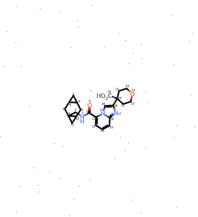 O=C(NCC12CC3CC3CC1C2)c1cccc2nc(C3(C(=O)O)CCOCC3)cn12